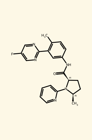 Cc1ccc(NC(=O)[C@H]2CC[C@@H](C)N2c2ccccn2)cc1-c1ncc(F)cn1